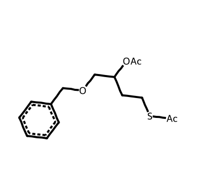 CC(=O)OC(CCSC(C)=O)COCc1ccccc1